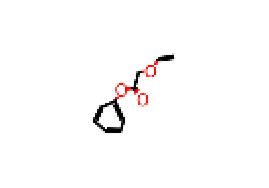 C=COCC(=O)Oc1ccccc1